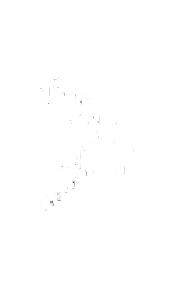 CCC(Br)(CC)C(=O)NC(N)=O.O=P([O-])([O-])[O-].O=P([O-])([O-])[O-].[Ca+2].[Ca+2].[Ca+2]